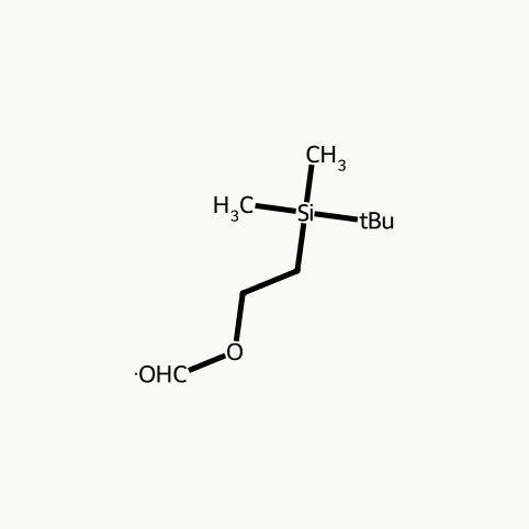 CC(C)(C)[Si](C)(C)CCO[C]=O